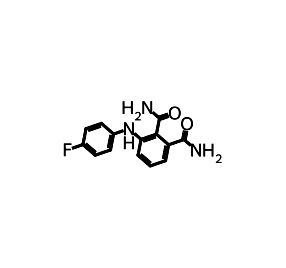 NC(=O)c1cccc(Nc2ccc(F)cc2)c1C(N)=O